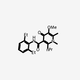 CCCc1c(C(=O)Nc2c(CC)cccc2CC)c(=O)c(OC)c(C)n1C